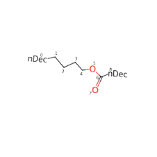 CCCCCCCCCCCCCCOC(=O)CCCCCCCCCC